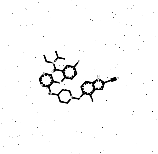 CCN(C(=O)c1cc(F)ccc1Oc1cncnc1NC1CCN(Cc2ccc3[nH]c(C#N)cc3c2C)CC1)C(C)C